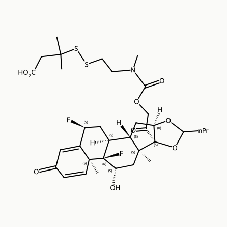 CCCC1O[C@@H]2C[C@H]3[C@@H]4C[C@H](F)C5=CC(=O)C=C[C@]5(C)[C@@]4(F)[C@@H](O)C[C@]3(C)[C@]2(C(=O)COC(=O)N(C)CCSSC(C)(C)CC(=O)O)O1